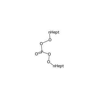 CCCCCCCOO[P](=O)OOCCCCCCC